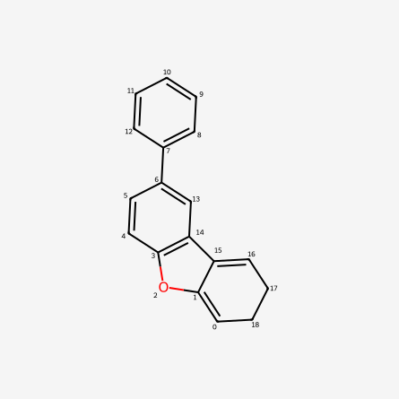 C1=c2oc3ccc(-c4ccccc4)cc3c2=CCC1